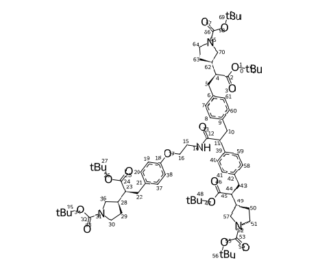 CC(C)(C)OC(=O)[C@@H](Cc1ccc(CC(C(=O)NCCOc2ccc(C[C@H](C(=O)OC(C)(C)C)[C@H]3CCN(C(=O)OC(C)(C)C)C3)cc2)c2ccc(C[C@H](C(=O)OC(C)(C)C)[C@H]3CCN(C(=O)OC(C)(C)C)C3)cc2)cc1)[C@H]1CCN(C(=O)OC(C)(C)C)C1